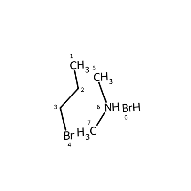 Br.CCCBr.CNC